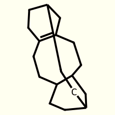 C1CC2CCC3CCC4CCC1=C(CCC4C3)C2